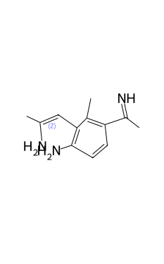 CC(=N)c1ccc(N)c(/C=C(/C)N)c1C